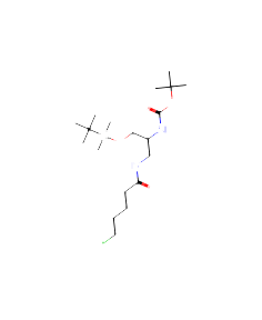 CC(C)(C)OC(=O)NC(CNC(=O)CCCCCl)CO[Si](C)(C)C(C)(C)C